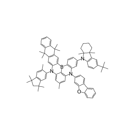 Cc1cc2c3c(c1)N(c1cc4c(cc1C)C(C)(C)CC4(C)C)c1cc4c(cc1B3c1ccc(N3c5ccc(C(C)(C)C)cc5C5(C)CCCCC35C)cc1N2c1ccc2c(c1)oc1ccccc12)C(C)(C)c1ccccc1C4(C)C